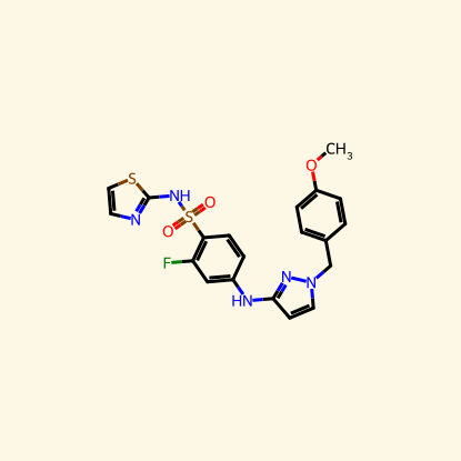 COc1ccc(Cn2ccc(Nc3ccc(S(=O)(=O)Nc4nccs4)c(F)c3)n2)cc1